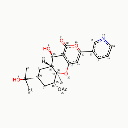 CCC(C)(O)[C@@H]1C[C@@H]2[C@@H](O)c3c(cc(-c4cccnc4)oc3=O)O[C@@]2(C)[C@H](OC(C)=O)C1